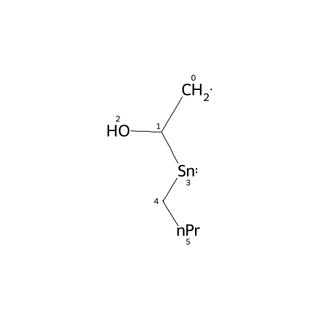 [CH2][CH](O)[Sn][CH2]CCC